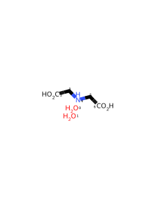 O.O.O=C(O)CNCC(=O)O